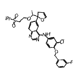 CC(OCCS(=O)(=O)C(C)C)C1(c2ccc3ncnc(Nc4ccc(OCc5cccc(F)c5)c(Cl)c4)c3c2)CC=CO1